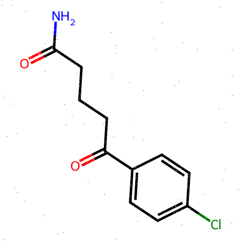 NC(=O)CCCC(=O)c1ccc(Cl)cc1